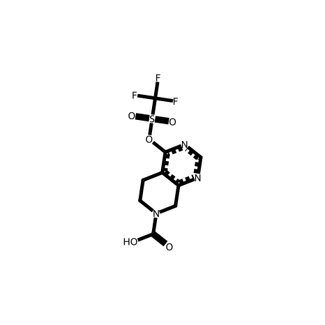 O=C(O)N1CCc2c(ncnc2OS(=O)(=O)C(F)(F)F)C1